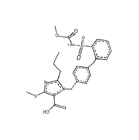 CCCc1nc(SC)c(C(=O)O)n1Cc1ccc(-c2ccccc2S(=O)(=O)NC(=O)OC)cc1